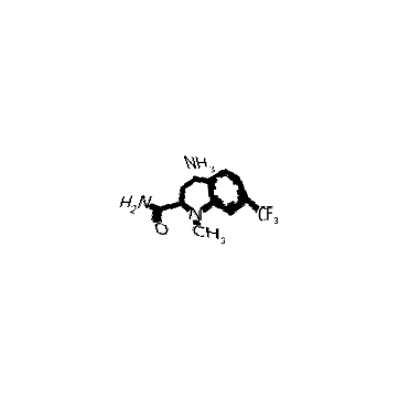 CN1c2cc(C(F)(F)F)ccc2CCC1C(N)=O.N